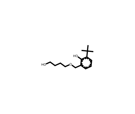 CC(C)(C)c1cccc(COCCCCO)c1O